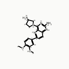 COc1ccc(-c2ccc3nc(N)nc(N4CCC(N)C4)c3n2)cc1OC